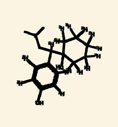 [2H]c1c([2H])c(C([2H])(CN(C)C)C2(O)C([2H])([2H])C([2H])([2H])C([2H])([2H])C([2H])([2H])C2([2H])[2H])c([2H])c([2H])c1O